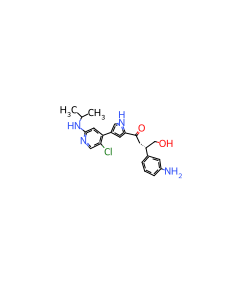 CC(C)Nc1cc(-c2c[nH]c(C(=O)C[C@H](CO)c3cccc(N)c3)c2)c(Cl)cn1